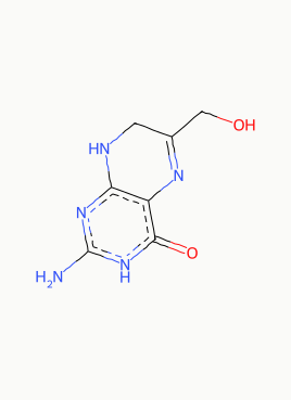 Nc1nc2c(c(=O)[nH]1)N=C(CO)CN2